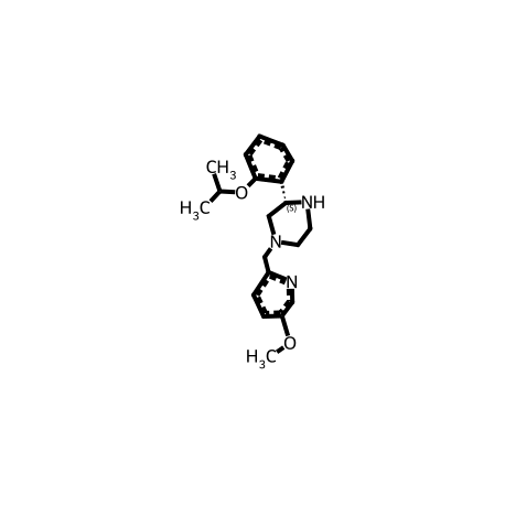 COc1ccc(CN2CCN[C@@H](c3ccccc3OC(C)C)C2)nc1